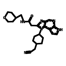 N#CCC1CCC(n2c(CC(=O)NCC3CCOCC3)nc3cnc4[nH]ccc4c32)CC1